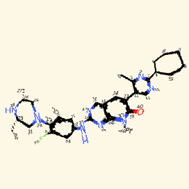 Cc1nc(C2CCCCC2)ncc1-c1cc2cnc(Nc3ccc(N4C[C@@H](C)N[C@@H](C)C4)c(F)c3)nc2n(C(C)C)c1=O